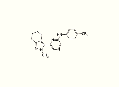 Cn1nc2c(c1-c1cncc(Nc3ccc(C(F)(F)F)cc3)n1)CCCC2